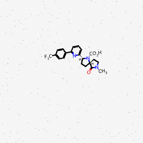 CN1CC[C@]2(CC[C@H](c3cccc(-c4ccc(C(F)(F)F)cc4)n3)N2C(=O)O)C1=O